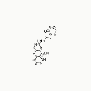 Cc1cnc(NCCCN2CCOCC2=O)nc1C(C#N)=C1C=CC=CN1